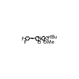 COc1cc(-n2ccc(C#Cc3ccc(F)c(F)c3)cc2=O)ccc1OCC(C)(C)C